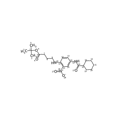 CC(C)(C)OC(=O)CCCNc1ccc(NC(=O)C2CCCCC2)cc1[N+](=O)[O-]